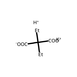 CCC(CC)(C(=O)[O-])C(=O)[O-].[H+].[K+]